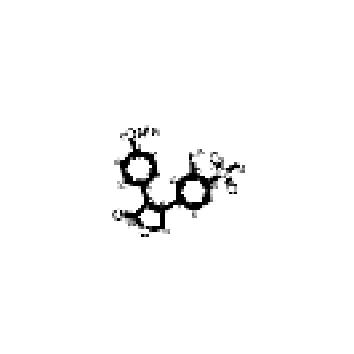 COc1ccc(C2=C(c3ccc(S(C)(=O)=O)c(F)c3)COC2=O)cc1